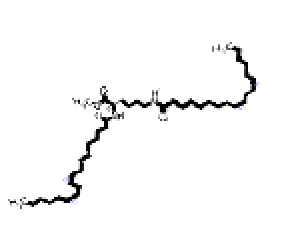 CCCCC/C=C\C/C=C\CCCCCCCC(=O)NCCCC[C@H](NC(=O)CCCCCCC/C=C\C/C=C\CCCCC)C(=O)OC